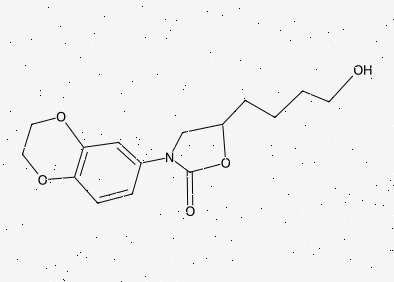 O=C1OC(CCCCO)CN1c1ccc2c(c1)OCCO2